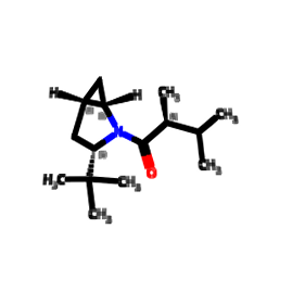 CC(C)[C@H](C)C(=O)N1[C@H](C(C)(C)C)C[C@@H]2C[C@@H]21